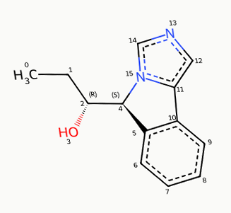 CC[C@@H](O)[C@@H]1c2ccccc2-c2cncn21